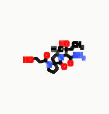 C=CC(C)(O)[C@@H](C(N)=O)N1CCC2(CCCN2C(=O)CCO)C1=O